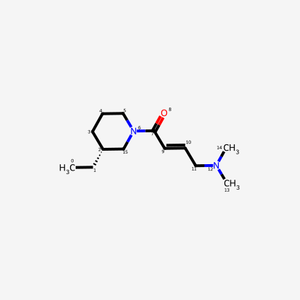 CC[C@@H]1CCCN(C(=O)/C=C/CN(C)C)C1